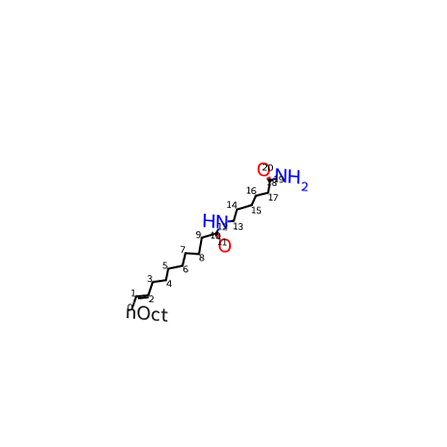 CCCCCCCCC=CCCCCCCCC(=O)NCCCCCC(N)=O